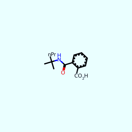 CCCC(C)(C)NC(=O)c1ccccc1C(=O)O